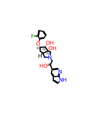 O[C@@H](CN1C[C@H]2C[C@H](Oc3ccccc3F)[C@H](O)[C@@]2(O)C1)c1cnc2[nH]ccc2c1